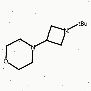 CC(C)(C)N1CC(N2CCOCC2)C1